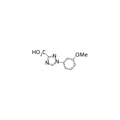 COc1cccc(-n2cnc(C(=O)O)n2)c1